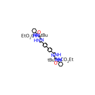 CCOC(=O)NC1(C(=O)N[C@H](c2nc(-c3ccc(-c4ccc(-c5c[nH]c([C@@H](NC(=O)C6(NC(=O)OCC)CCCCC6)C(C)(C)C)n5)cc4)cc3)c[nH]2)C(C)(C)C)CCCCC1